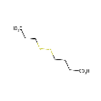 O=C(O)CCCSSCCC(=O)O